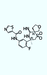 C[C@@]1(c2cc(NC(=O)c3cncs3)ccc2F)CS(=O)(=O)[C@]2(CCOC2)C(=N)N1